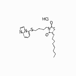 CCCCCCC/C=C1/SC(=O)N(CCCCSc2cccc3nccn23)C1=O.Cl